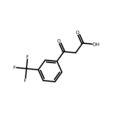 O=C(O)CC(=O)c1cccc(C(F)(F)F)c1